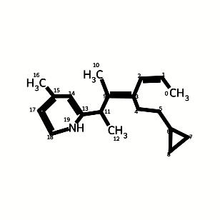 C/C=C\C(CCC1CC1)=C(/C)C(C)C1=CC(C)=C=CN1